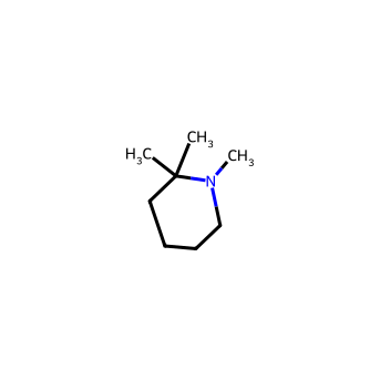 CN1CCCCC1(C)C